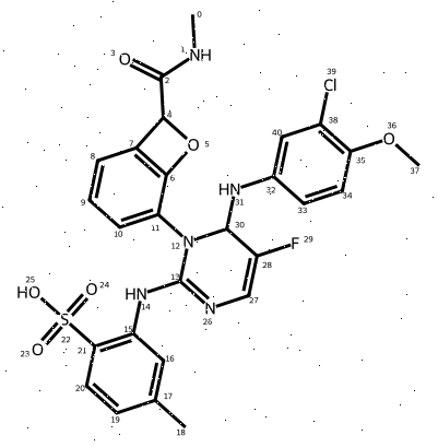 CNC(=O)C1Oc2c1cccc2N1C(Nc2cc(C)ccc2S(=O)(=O)O)=NC=C(F)C1Nc1ccc(OC)c(Cl)c1